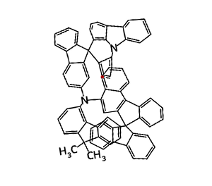 CC1(C)c2ccccc2-c2c(N(c3ccc4c(c3)C3(c5ccccc5-4)c4ccccc4-n4c5ccccc5c5cccc3c54)c3cc4c(c5ccccc35)-c3ccccc3C43c4ccccc4-c4ccccc43)cccc21